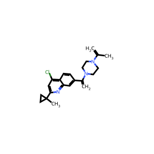 C=C(C)N1CCN(C(=C)c2ccc3c(Cl)cc(C4(C)CC4)nc3c2)CC1